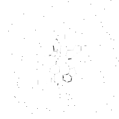 CN1C=C2C(=O)N(C3CCC(N(C)C(=O)c4ccc5c(c4)C(NC(=O)CCC4CCCC4)CC5)CC3)CN2C1